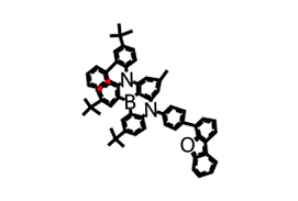 Cc1cc2c3c(c1)N(c1ccc(C(C)(C)C)cc1-c1ccccc1)c1ccc(C(C)(C)C)cc1B3c1cc(C(C)(C)C)ccc1N2c1ccc(-c2cccc3c2oc2ccccc23)cc1